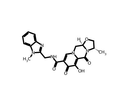 C[C@H]1CO[C@@H]2Cn3cc(C(=O)NCc4nc5ccccc5n4C)c(=O)c(O)c3C(=O)N12